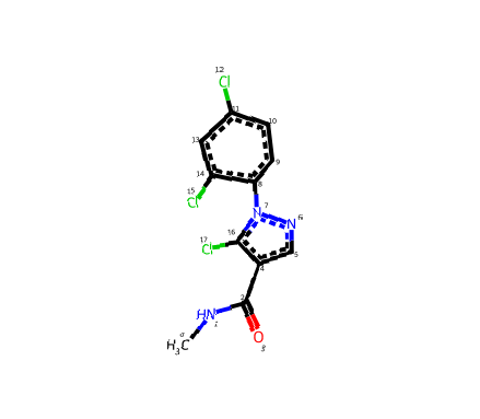 CNC(=O)c1cnn(-c2ccc(Cl)cc2Cl)c1Cl